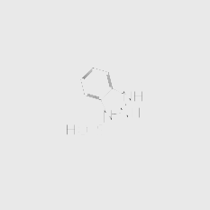 O=S(=O)(O)N1NNc2ccccc21